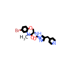 CN1C(=O)[C@H](NC(=O)n2cc(Cc3ccncc3)cn2)COc2ccc(Br)cc21